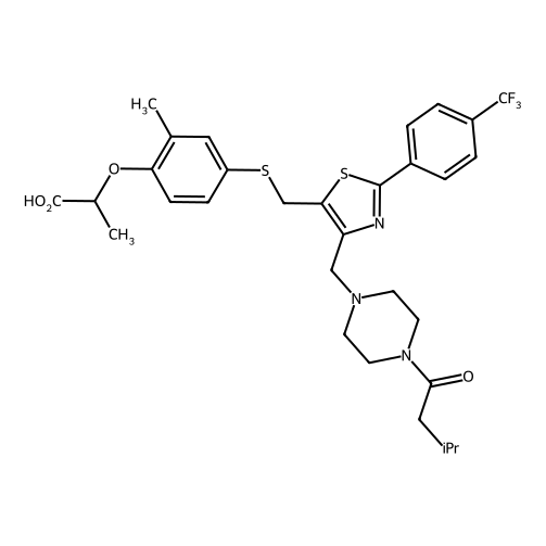 Cc1cc(SCc2sc(-c3ccc(C(F)(F)F)cc3)nc2CN2CCN(C(=O)CC(C)C)CC2)ccc1OC(C)C(=O)O